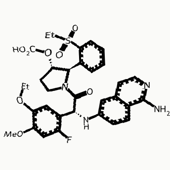 CCOc1cc([C@@H](Nc2ccc3c(N)nccc3c2)C(=O)N2CC[C@H](OC(=O)O)[C@H]2c2ccccc2S(=O)(=O)CC)c(F)cc1OC